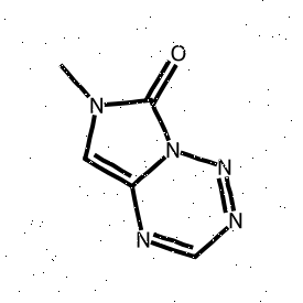 Cn1cc2ncnnn2c1=O